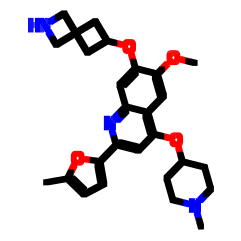 COc1cc2c(OC3CCN(C)CC3)cc(-c3ccc(C)o3)nc2cc1OC1CC2(CNC2)C1